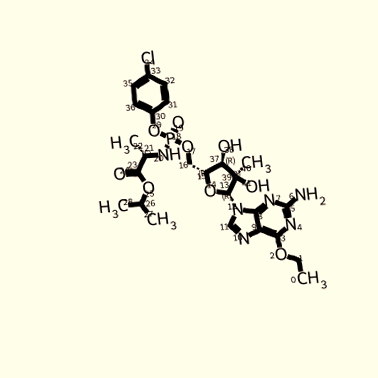 CCOc1nc(N)nc2c1ncn2[C@@H]1O[C@H](COP(=O)(N[C@@H](C)C(=O)OC(C)C)Oc2ccc(Cl)cc2)[C@@H](O)[C@@]1(C)O